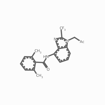 CC(=O)Cn1c(C(F)(F)F)nc2c(NC(=O)c3c(C)cccc3C)cccc21